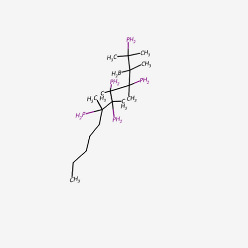 BC(C)(C(C)(C)P)C(C)(P)C(C)(P)C(C)(P)C(C)(P)CCCCC